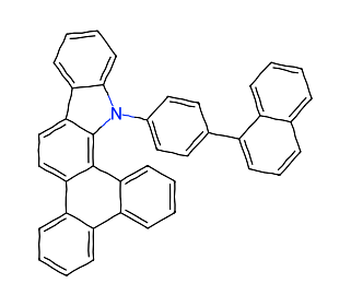 c1ccc2c(-c3ccc(-n4c5ccccc5c5ccc6c7ccccc7c7ccccc7c6c54)cc3)cccc2c1